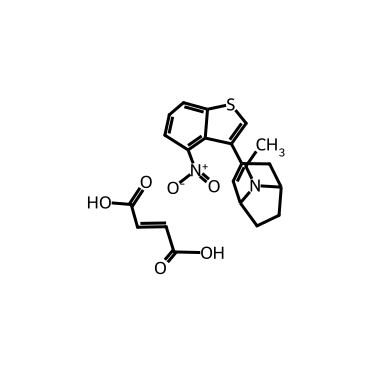 CCN1C2C=C(c3csc4cccc([N+](=O)[O-])c34)CC1CC2.O=C(O)C=CC(=O)O